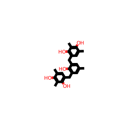 Cc1cc(Cc2cc(C)c(O)c(C)c2O)c(O)c(Cc2cc(C)c(O)c(C)c2O)c1